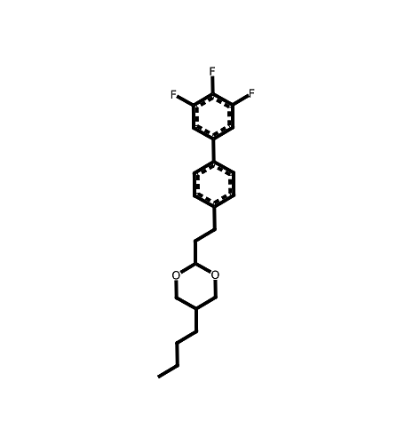 CCCCC1COC(CCc2ccc(-c3cc(F)c(F)c(F)c3)cc2)OC1